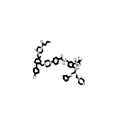 CCCC(=O)N1CCN(CC2(C)CCC(c3ccc(Cl)cc3)=C(CN3CCN(c4ccc(C(=O)NSc5ccc(N[C@H](CCN6CCOCC6)CSc6ccccc6)c(S(=O)(=O)C(F)(F)F)c5)cc4)CC3)C2)[C@H](C)C1